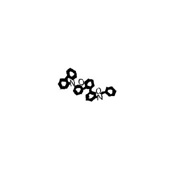 c1ccc(-c2nc3cccc(-c4cccc5oc6c(-n7c8ccccc8c8ccccc87)cccc6c45)c3o2)cc1